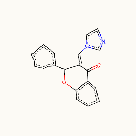 O=C1C(=Cn2ccnc2)C(c2ccccc2)Oc2ccccc21